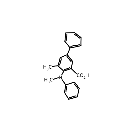 Cc1cc(-c2ccccc2)cc(C(=O)O)c1N(C)c1ccccc1